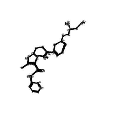 CC1=C(C(=O)Nc2cccnn2)N2NC(C3=CC=CC(OC[C@H](O)CO)C3)CCC2N1